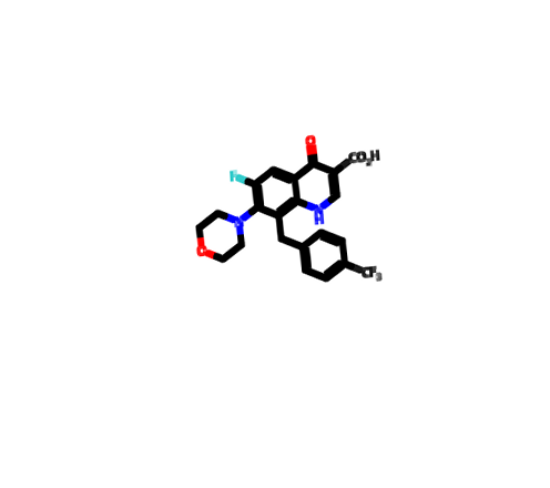 O=C(O)c1c[nH]c2c(Cc3ccc(C(F)(F)F)cc3)c(N3CCOCC3)c(F)cc2c1=O